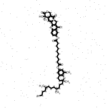 CCc1c2c(nc3ccc(OC(=O)CCCCCCCCC(=O)Oc4cc(C)c5c(c4)CC[C@@](C)(CCC[C@H](C)CCC[C@H](C)CCCC(C)C)O5)cc13)-c1cc3c(c(=O)n1C2)COC(=O)[C@]3(O)CC